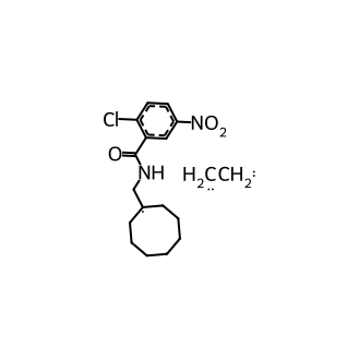 O=C(NC[C]1CCCCCCC1)c1cc([N+](=O)[O-])ccc1Cl.[CH2].[CH2]